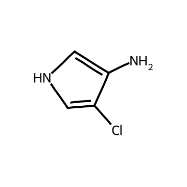 Nc1c[nH]cc1Cl